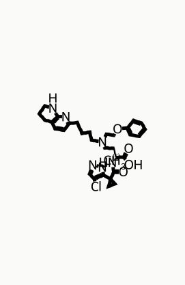 Cn1ncc(Cl)c1C1(C(=O)N[C@@H](CCN(CCCCc2ccc3c(n2)NCCC3)CCOc2ccccc2)C(=O)O)CC1